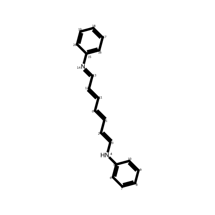 C(=CC=CNc1ccccc1)C=CC=Nc1ccccc1